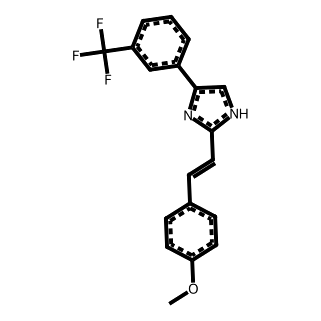 COc1ccc(/C=C/c2nc(-c3cccc(C(F)(F)F)c3)c[nH]2)cc1